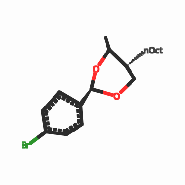 CCCCCCCC[C@@H]1CO[C@@H](c2ccc(Br)cc2)OC1C